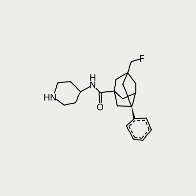 O=C(NC1CCNCC1)C12CC3CC(CF)(C1)C[C@@]3(c1ccccc1)C2